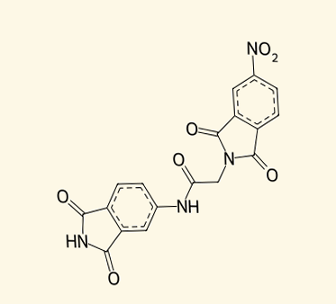 O=C(CN1C(=O)c2ccc([N+](=O)[O-])cc2C1=O)Nc1ccc2c(c1)C(=O)NC2=O